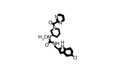 CN(C(=O)NCc1cc2cc(Cl)ccc2[nH]1)[C@@H]1CCCN(C(=O)c2ncccn2)C1